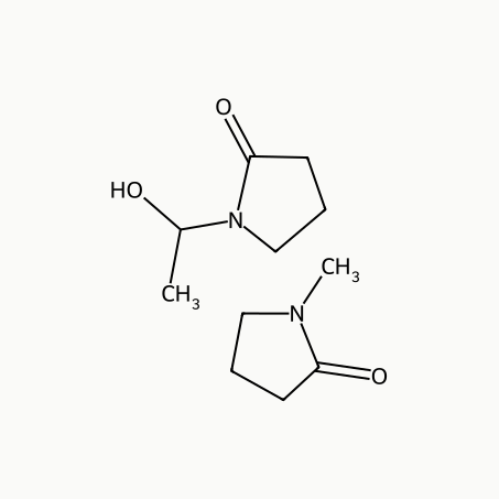 CC(O)N1CCCC1=O.CN1CCCC1=O